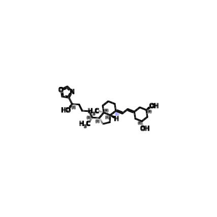 C[C@H](CCC[C@@H](O)c1cocn1)[C@H]1CC[C@H]2/C(=C/C=C3C[C@@H](O)C[C@H](O)C3)CCC[C@]12C